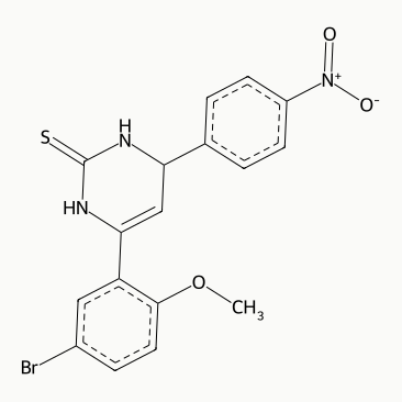 COc1ccc(Br)cc1C1=CC(c2ccc([N+](=O)[O-])cc2)NC(=S)N1